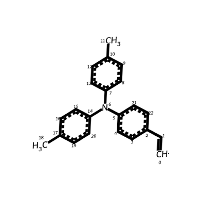 [CH]=Cc1ccc(N(c2ccc(C)cc2)c2ccc(C)cc2)cc1